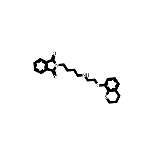 O=C1c2ccccc2C(=O)N1CCCCNCCOc1cccc2c1SCCC2